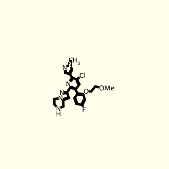 COCCOc1cc(F)ccc1-c1cc(Cl)c(-c2cnn(C)c2)nc1-c1cc2n(n1)CCNC2